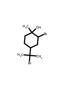 CC(C)(Br)C1CCC(C)(O)C(Br)C1